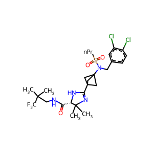 CCCS(=O)(=O)N(Cc1ccc(Cl)c(Cl)c1)C12CC(C3=NC(C)(C)[C@H](C(=O)NCC(C)(C)C(F)(F)F)N3)(C1)C2